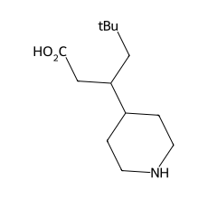 CC(C)(C)CC(CC(=O)O)C1CCNCC1